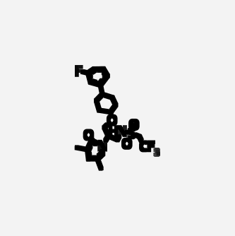 Cc1cc(C)c(=O)n(C(CNS(=O)(=O)CC(F)(F)F)COC2CCC(c3cccc(F)c3)CC2)c1